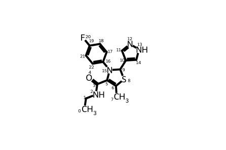 CCNC(=O)C1=C(C)SC(c2cn[nH]c2)N1c1ccc(F)cc1